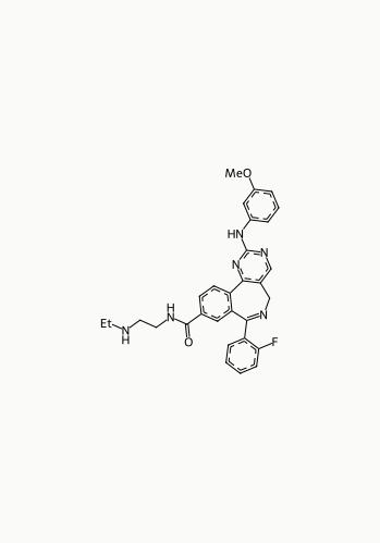 CCNCCNC(=O)c1ccc2c(c1)C(c1ccccc1F)=NCc1cnc(Nc3cccc(OC)c3)nc1-2